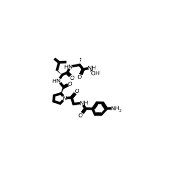 CC(C)C[C@@H](NC(=O)[C@@H]1CCCN1C(=O)CNC(=O)c1ccc(N)cc1)C(=O)N[C@H](C)C(=O)NO